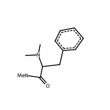 CNC(=O)C(Cc1ccccc1)N(C)C